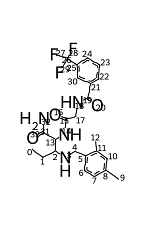 CCC(NCc1ccc(C)cc1C)C(NC(=O)CNC(=O)c1cccc(C(F)(F)F)c1)C(N)=O